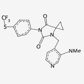 CNc1cnccc1CN1C(=O)N(c2ccc(SC(F)(F)F)cc2)C(=O)C12CC2